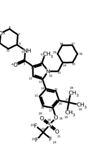 Cc1c(C(=O)NC2CCOCC2)cc(-c2ccc(OS(=O)(=O)C(F)(F)F)c(C(C)(C)C)c2)n1CC1CCCCC1